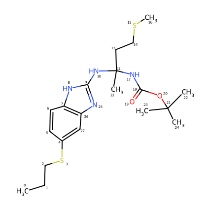 CCCSc1ccc2[nH]c(NC(C)(CCSC)NC(=O)OC(C)(C)C)nc2c1